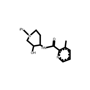 Cc1cccnc1C(=O)NC1CCN(C(C)C)CC1O